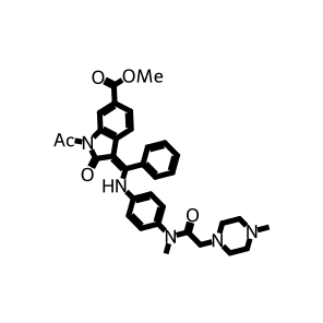 COC(=O)c1ccc2c(c1)N(C(C)=O)C(=O)/C2=C(\Nc1ccc(N(C)C(=O)CN2CCN(C)CC2)cc1)c1ccccc1